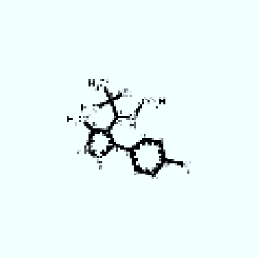 CCC(C)(C)[C@@H](NC(=O)O)c1c(C)noc1-c1ccc(Br)cc1